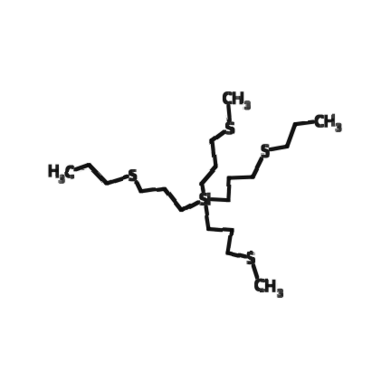 CCCSCCC[Si](CCCSC)(CCCSC)CCCSCCC